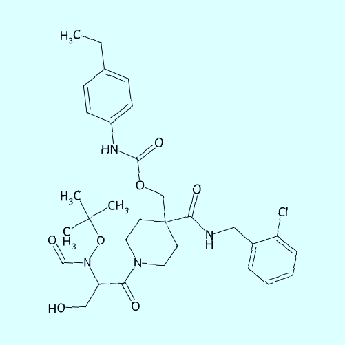 CCc1ccc(NC(=O)OCC2(C(=O)NCc3ccccc3Cl)CCN(C(=O)C(CO)N(C=O)OC(C)(C)C)CC2)cc1